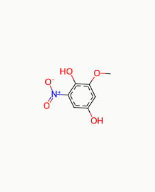 COc1cc(O)cc([N+](=O)[O-])c1O